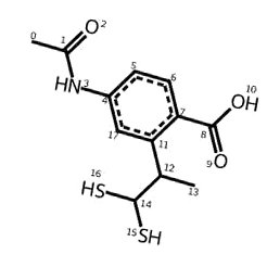 CC(=O)Nc1ccc(C(=O)O)c(C(C)C(S)S)c1